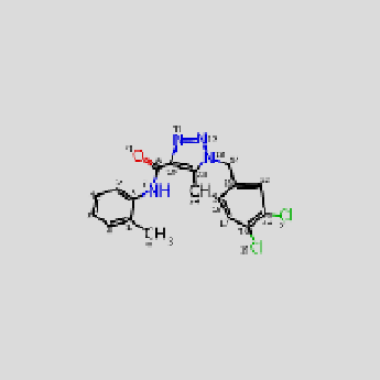 Cc1cc[c]cc1NC(=O)c1nnn(Cc2ccc(Cl)c(Cl)c2)c1C